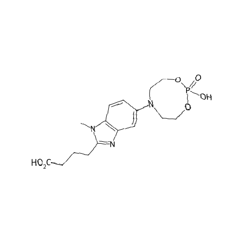 Cn1c(CCCC(=O)O)nc2cc(N3CCOP(=O)(O)OCC3)ccc21